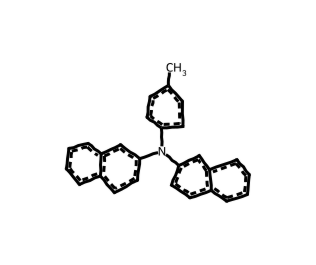 Cc1ccc(N(c2ccc3ccccc3c2)c2ccc3ccccc3c2)cc1